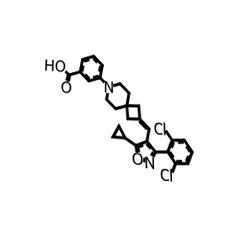 O=C(O)c1cccc(N2CCC3(CC2)CC(=Cc2c(-c4c(Cl)cccc4Cl)noc2C2CC2)C3)c1